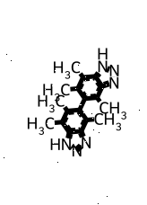 Cc1c(-c2c(C)c(C)c3[nH]nnc3c2C)c(C)c2nn[nH]c2c1C